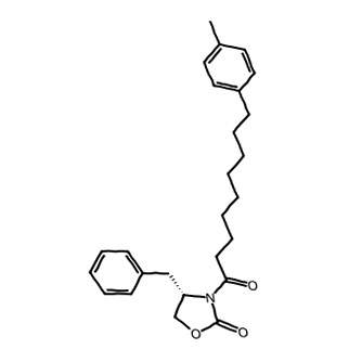 Cc1ccc(CCCCCCCCC(=O)N2C(=O)OC[C@@H]2Cc2ccccc2)cc1